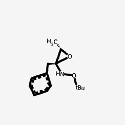 C[C@@H]1O[C@]1(Cc1ccccc1)NOC(C)(C)C